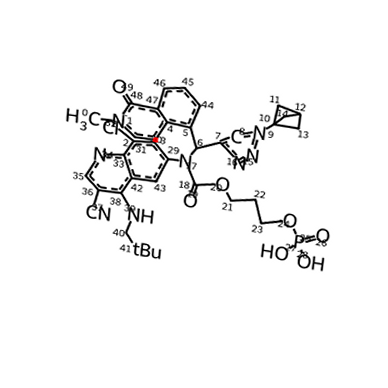 Cn1ccc2c(C(c3cn(C45CC(C4)C5)nn3)N(C(=O)OCCCOP(=O)(O)O)c3cc(Cl)c4ncc(C#N)c(NCC(C)(C)C)c4c3)cccc2c1=O